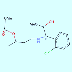 COC(=O)OC(C)CCN[C@@H](c1ccccc1Cl)C(O)OC